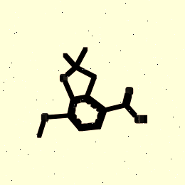 COc1ccc(C(=O)O)c2c1OC(C)(C)C2